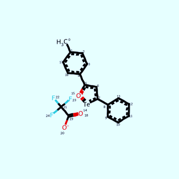 Cc1ccc(-c2cc(-c3ccccc3)[te][o+]2)cc1.O=C([O-])C(F)(F)F